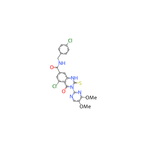 COc1cnc(-n2c(=S)[nH]c3cc(C(=O)NCc4ccc(Cl)cc4)cc(Cl)c3c2=O)nc1OC